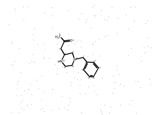 CC(=O)CC1CN(Cc2ccccc2)CCN1